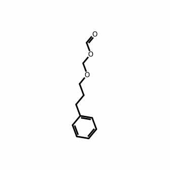 O=COCOCCCc1ccccc1